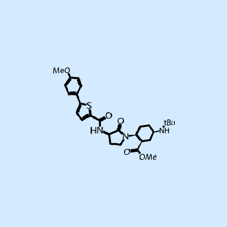 COC(=O)[C@@H]1C[C@H](NC(C)(C)C)CC[C@@H]1N1CCC(NC(=O)c2ccc(-c3ccc(OC)cc3)s2)C1=O